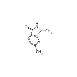 C=C1NC(=O)c2ccc(C)cc21